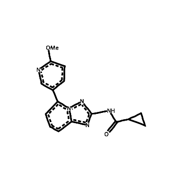 COc1ccc(-c2cccc3nc(NC(=O)C4CC4)nn23)cn1